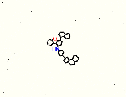 c1ccc2c(-c3ccc(Nc4ccc(-c5ccc6ccc7ccccc7c6c5)cc4)c4c3oc3ccccc34)cccc2c1